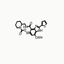 COc1ccc(C(=O)NCC2CCCCN2C(=O)OC(C)(C)C)c2nc(-c3cccs3)[nH]c12